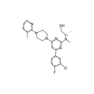 Cc1cccnc1N1CCN(c2cc(-c3ccc(F)c(Cl)c3)nc(N(C)[C@@H](C)CO)n2)CC1